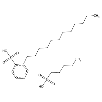 CCCCCCCCCCCCc1ccccc1S(=O)(=O)O.CCCCCS(=O)(=O)O